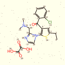 CCc1cc(C(=O)c2ccccc2Cl)c(-n2ccnc2CN(C)C)s1.O=C(O)C(=O)O